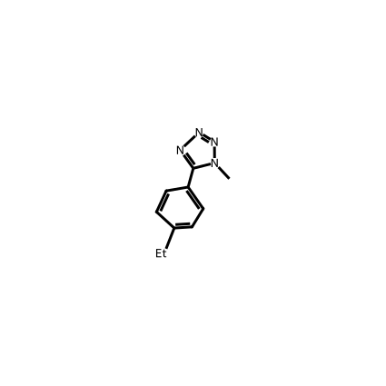 CCc1ccc(-c2nnnn2C)cc1